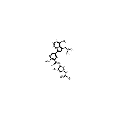 COc1ncc(-c2cc(CN(C)C)c3c(N)ncnn23)cc1C(=O)N[C@@H]1CN(CC(O)C(F)(F)F)C[C@@H]1F